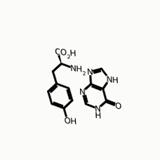 N[C@@H](Cc1ccc(O)cc1)C(=O)O.O=c1[nH]cnc2nc[nH]c12